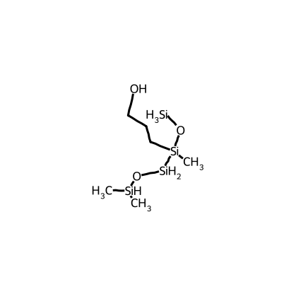 C[SiH](C)O[SiH2][Si](C)(CCCO)O[SiH3]